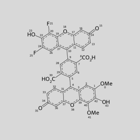 COc1cc2c(-c3cc(C(=O)O)c(-c4c5ccc(=O)cc-5oc5c(F)c(O)c(F)cc45)cc3C(=O)O)c3ccc(=O)cc-3oc2c(OC)c1O